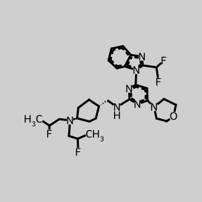 CC(F)CN(CC(C)F)[C@H]1CC[C@H](CNc2nc(N3CCOCC3)cc(-n3c(C(F)F)nc4ccccc43)n2)CC1